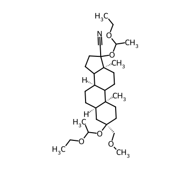 CCOC(C)OC1(C#N)CCC2[C@@H]3CC[C@@H]4C[C@](COC)(OC(C)OCC)CC[C@]4(C)C3CC[C@@]21C